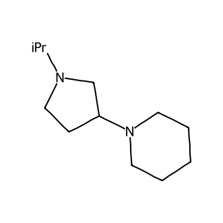 CC(C)N1CCC(N2CCCCC2)C1